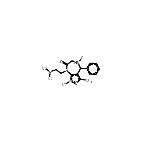 CCN(CC)CCN1C(=O)C[NH+]([O-])C(c2ccccc2)c2c(C)nn(CC)c21